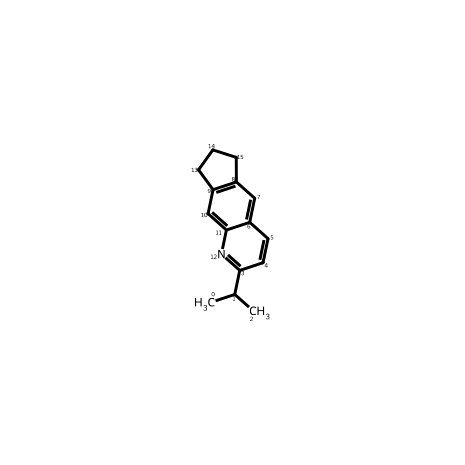 CC(C)c1ccc2cc3c(cc2n1)CCC3